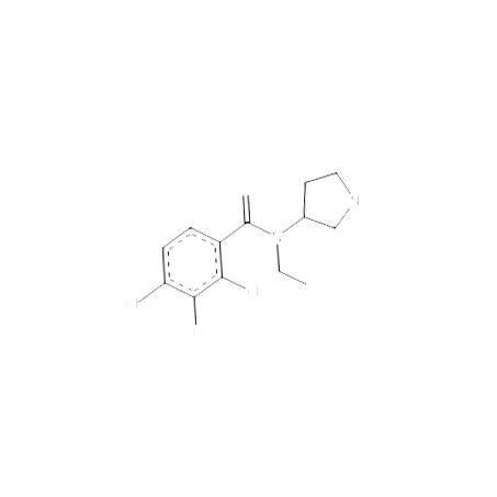 CC(C)CN(C(=O)c1ccc(Cl)c(F)c1Cl)C1CCNC1